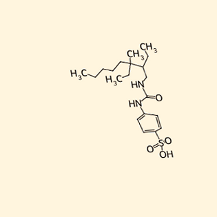 CCCCCC(C)(CC)C(CC)CNC(=O)Nc1ccc(S(=O)(=O)O)cc1